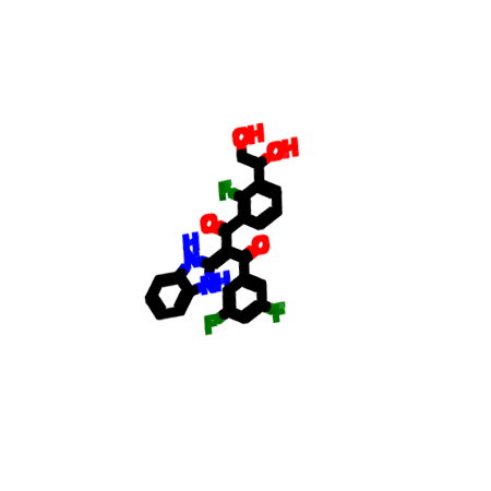 O=C(C(C(=O)c1cccc(C(O)CO)c1F)=C1Nc2ccccc2N1)c1cc(F)cc(F)c1